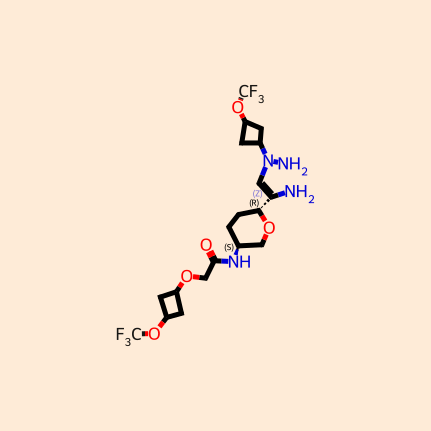 N/C(=C\N(N)C1CC(OC(F)(F)F)C1)[C@H]1CC[C@H](NC(=O)COC2CC(OC(F)(F)F)C2)CO1